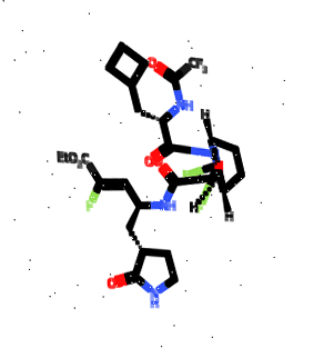 CCOC(=O)/C(F)=C/[C@H](C[C@@H]1CCNC1=O)NC(=O)[C@@H]1[C@H]2CC[C@H](CC2(F)F)N1C(=O)[C@H](CC1CCC1)NC(=O)C(F)(F)F